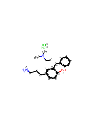 CC(C)N(CC[C@H](c1ccccc1)c1cc(CCCN)ccc1O)C(C)C.Cl.Cl